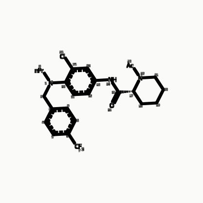 CCCN(Cc1ccc(C(F)(F)F)cc1)c1ccc(NC(=O)[C@H]2CCCCN2C(C)=O)cc1Cl